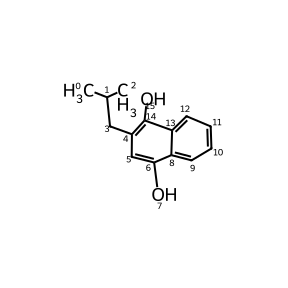 CC(C)Cc1cc(O)c2ccccc2c1O